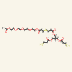 CCC(=O)OCCOCCOCCOCCOC(=O)CCSCCC(=O)OCC(CC)(COC(=O)CCS)COC(=O)CCS